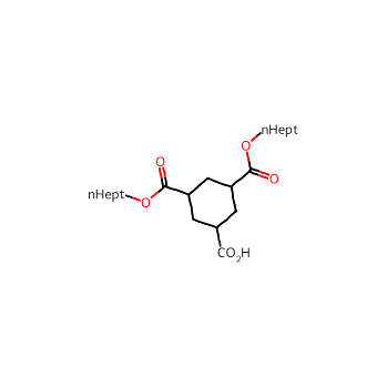 CCCCCCCOC(=O)C1CC(C(=O)O)CC(C(=O)OCCCCCCC)C1